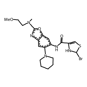 COCCN(C)c1nc2cc(N3CCCCC3)c(NC(=O)C3=CSC(Br)N3)cc2o1